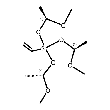 C=C[Si](O[C@@H](C)OC)(O[C@@H](C)OC)O[C@@H](C)OC